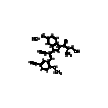 COc1ccc(C#N)cc1C=C(C#N)c1cn(C(=O)[C@@H](N)CO)c2ccc(Br)cc12.Cl